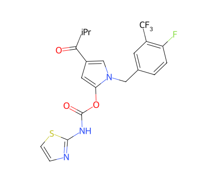 CC(C)C(=O)c1cc(OC(=O)Nc2nccs2)n(Cc2ccc(F)c(C(F)(F)F)c2)c1